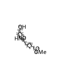 COC(=O)/C=C/c1ccc(CCCC(=O)Nc2ccc(CCO)cc2)cc1